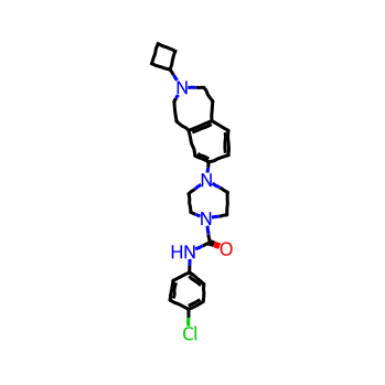 O=C(Nc1ccc(Cl)cc1)N1CCN(c2ccc3c(c2)CCN(C2CCC2)CC3)CC1